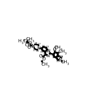 CCOC(=O)c1nc(-c2cc3cn(C)nc3c(C)c2OC)nc2ccc(N3CCN(C(=O)OC(C)(C)C)CC3)cc12